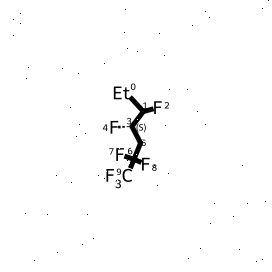 [CH2]CC(F)[C@@H](F)CC(F)(F)C(F)(F)F